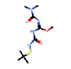 COC(=NC(=O)N(C)C)NC(=O)NSC(C)(C)C